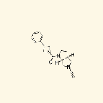 C#CN1C[C@H]2CCN(C(=O)N3CC(c4ccccc4)C3)[C@H]2C1